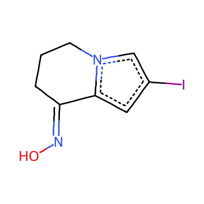 ON=C1CCCn2cc(I)cc21